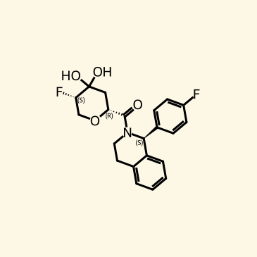 O=C([C@H]1CC(O)(O)[C@@H](F)CO1)N1CCc2ccccc2[C@@H]1c1ccc(F)cc1